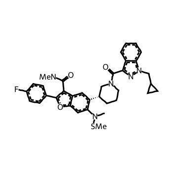 CNC(=O)c1c(-c2ccc(F)cc2)oc2cc(N(C)SC)c([C@H]3CCCN(C(=O)c4nn(CC5CC5)c5ccccc45)C3)cc12